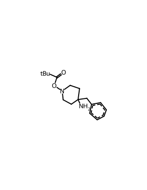 CC(C)(C)C(=O)ON1CCC(N)(Cc2ccccc2)CC1